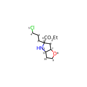 CCOC(=O)C1(CCCCl)CC2OCCC2N1